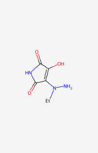 CCN(N)C1=C(O)C(=O)NC1=O